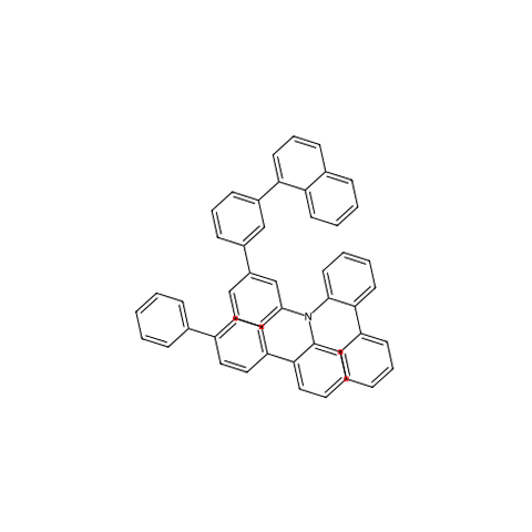 c1ccc(-c2ccc(-c3ccccc3N(c3cccc(-c4cccc(-c5cccc6ccccc56)c4)c3)c3ccccc3-c3ccccc3)cc2)cc1